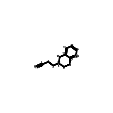 N#CCCN1CCc2ncccc2C1